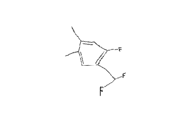 Cc1cc(F)c(C(F)F)cc1C